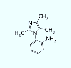 Cc1nc(C)n(-c2ccccc2N)c1C